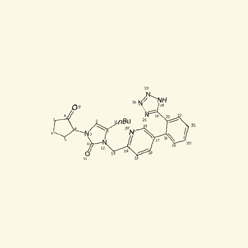 CCCCc1cn(C2CCCC2=O)c(=O)n1Cc1ccc(-c2ccccc2-c2nnn[nH]2)cn1